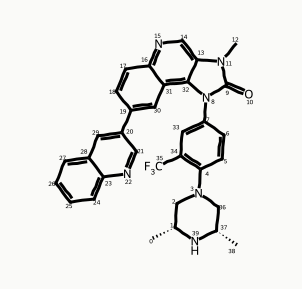 C[C@@H]1CN(c2ccc(-n3c(=O)n(C)c4cnc5ccc(-c6cnc7ccccc7c6)cc5c43)cc2C(F)(F)F)C[C@H](C)N1